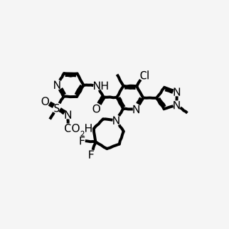 Cc1c(Cl)c(-c2cnn(C)c2)nc(N2CCCC(F)(F)CC2)c1C(=O)Nc1ccnc(S(C)(=O)=NC(=O)O)c1